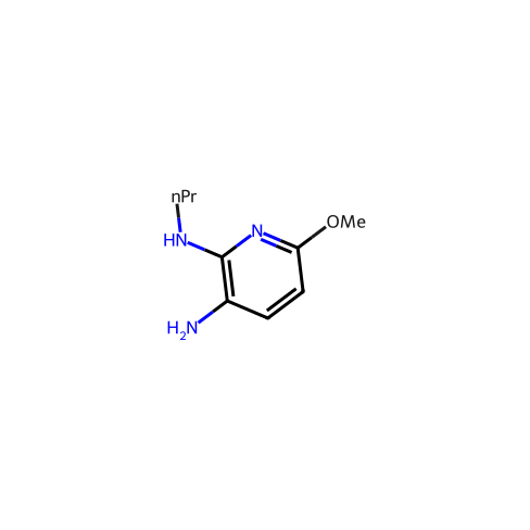 CCCNc1nc(OC)ccc1N